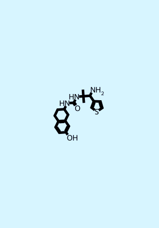 CC(C)(NC(=O)NC1CCc2ccc(O)cc2C1)C(N)c1ccsc1